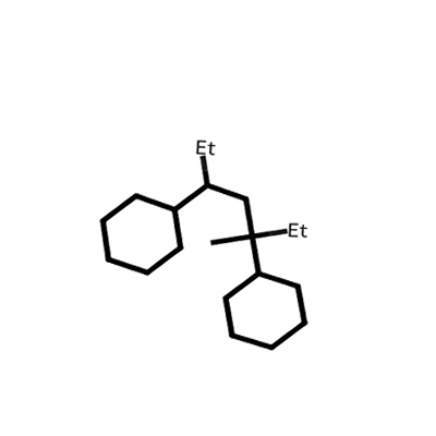 CCC(CC(C)(CC)C1CCCCC1)C1CCCCC1